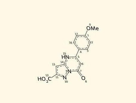 COc1ccc(-c2cc(=O)n3nc(C(=O)O)cc3[nH]2)cc1